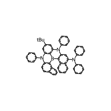 CC(C)(C)c1cc2c3c(c1)N(c1ccccc1)c1cc(N(c4ccccc4)c4ccccc4)c4ccccc4c1B3c1c(ccc3ccccc13)N2c1ccccc1